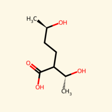 C[C@@H](O)CCC(C(=O)O)[C@@H](C)O